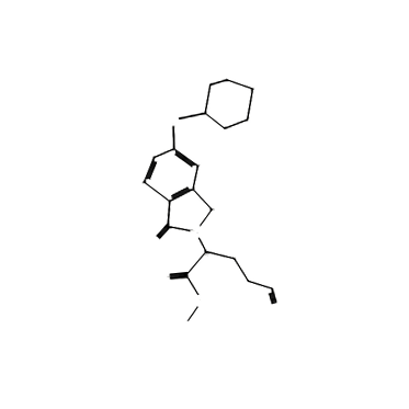 CNC(=O)C(CCC=O)N1Cc2cc(OC3CCCCC3)ccc2C1=O